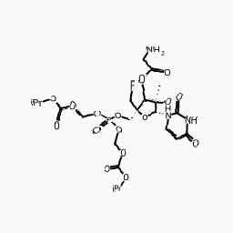 CC(C)OC(=O)OCOP(=O)(OCOC(=O)OC(C)C)OC[C@@]1(CF)O[C@@H](n2ccc(=O)[nH]c2=O)[C@](C)(O)C1OC(=O)CN